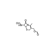 CC1=C(COC=O)CSC2C(NC=O)C(=O)N12